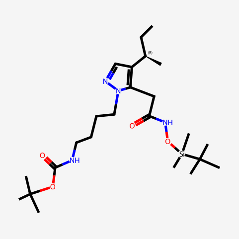 CC[C@@H](C)c1cnn(CCCCNC(=O)OC(C)(C)C)c1CC(=O)NO[Si](C)(C)C(C)(C)C